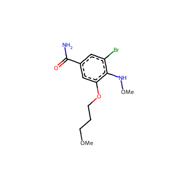 COCCCOc1cc(C(N)=O)cc(Br)c1NOC